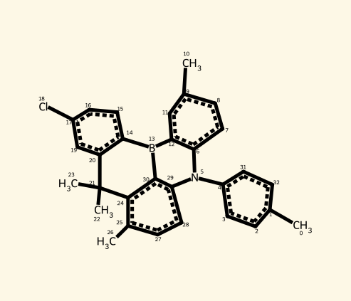 Cc1ccc(N2c3ccc(C)cc3B3c4ccc(Cl)cc4C(C)(C)c4c(C)ccc2c43)cc1